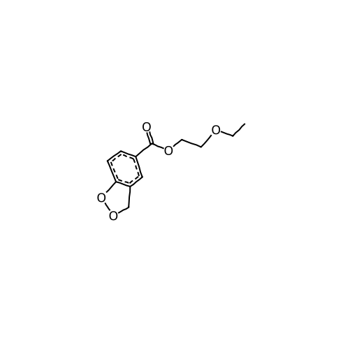 CCOCCOC(=O)c1ccc2c(c1)COO2